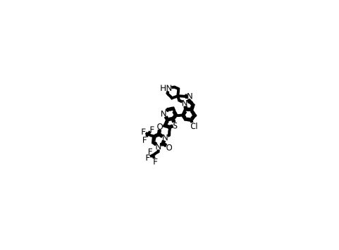 N#CC1(Cn2ccc3cc(Cl)cc(-c4ccnc5cc(Cn6c(=O)c(C(F)(F)F)cn(CC(F)(F)F)c6=O)sc45)c32)CCNCC1